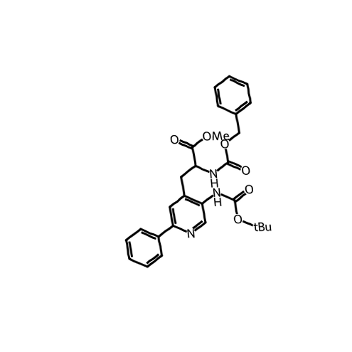 COC(=O)C(Cc1cc(-c2ccccc2)ncc1NC(=O)OC(C)(C)C)NC(=O)OCc1ccccc1